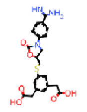 N=C(N)c1ccc(N2CC(CSc3cc(CC(=O)O)cc(CC(=O)O)c3)OC2=O)cc1